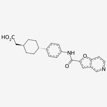 O=C(O)C[C@H]1CC[C@H](c2ccc(NC(=O)c3cc4cnccc4o3)cc2)CC1